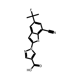 CC(C)(F)c1cc(C#N)c2sc(-n3cc(C(=O)O)cn3)cc2c1